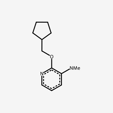 CNc1cccnc1OCC1CCCC1